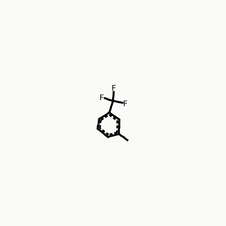 Cc1cccc(C(F)(F)F)c1